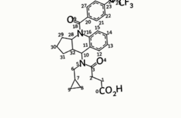 O=C(O)CCC(=O)N(CC1CC1)C1c2ccccc2N(C(=O)c2ccc(OC(F)(F)F)cc2)C2CCCC12